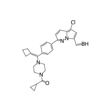 B=Cc1cc(Cl)c2ccc(-c3ccc(C(=C4CCC4)N4CCN(C(=O)C5CC5)CC4)cc3)nn12